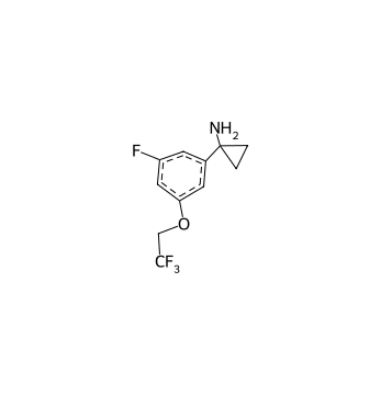 NC1(c2cc(F)cc(OCC(F)(F)F)c2)CC1